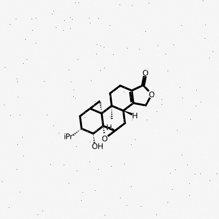 CC(C)[C@@H]1CC2C[C@]23[C@]2(O[C@H]2C[C@H]2C4=C(CC[C@@]23C)C(=O)OC4)[C@@H]1O